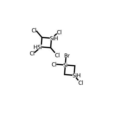 ClC1[SiH](Cl)C(Cl)[SiH]1Cl.Cl[SiH]1C[Si](Cl)(Br)C1